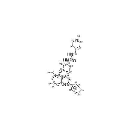 CCN1CC(C)(C)Oc2nc(N3CC4CCC(C3)O4)nc(-c3ccc(NC(=O)NCC4CCN(C)CC4)c(F)c3)c2C1=O